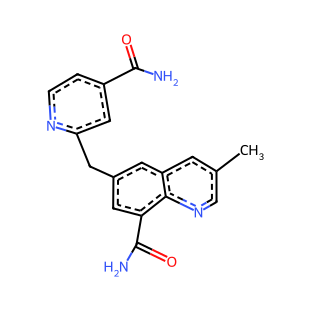 Cc1cnc2c(C(N)=O)cc(Cc3cc(C(N)=O)ccn3)cc2c1